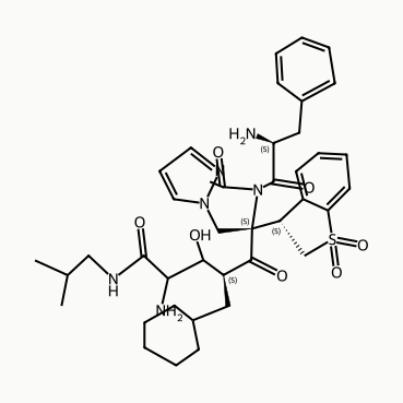 CC(=O)N(C(=O)[C@@H](N)Cc1ccccc1)[C@@](Cn1cccn1)(C(=O)[C@@H](CC1CCCCC1)C(O)C(N)C(=O)NCC(C)C)[C@H]1CS(=O)(=O)c2ccccc21